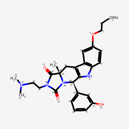 COCCOc1ccc2[nH]c3c(c2c1)C[C@@]1(C)C(=O)N(CCN(C)C)C(=O)N1[C@@H]3c1cccc(O)c1